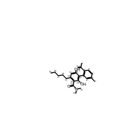 C=C(C)c1ccc(C)cc1-c1c(O)cc(CCCCC)c(C(=O)N(C)C)c1O